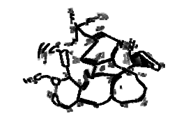 COC(OC)c1nc2c(cc1C=O)CCC[N+]2(C(N)=O)c1ccc(C(F)(F)F)cn1